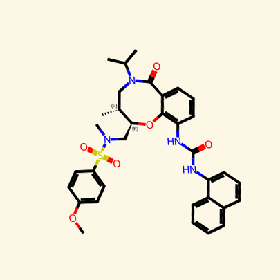 COc1ccc(S(=O)(=O)N(C)C[C@@H]2Oc3c(NC(=O)Nc4cccc5ccccc45)cccc3C(=O)N(C(C)C)C[C@H]2C)cc1